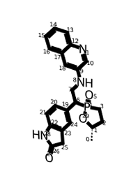 C[C@H]1CCP(=O)(C(CNc2cnc3ccccc3c2)c2ccc3c(c2)CC(=O)N3)O1